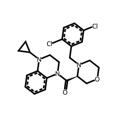 O=C([C@@H]1COCCN1Cc1cc(Cl)ccc1Cl)N1CCN(C2CC2)c2ccccc21